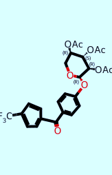 CC(=O)O[C@@H]1[C@@H](OC(C)=O)[C@@H](Oc2ccc(C(=O)c3ccc(C(F)(F)F)cc3)cc2)OC[C@H]1OC(C)=O